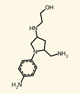 NCC1CC(NCCO)CN1c1ccc(N)cc1